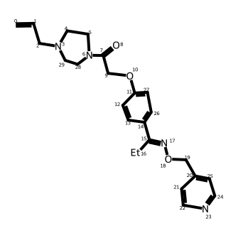 C=CCN1CCN(C(=O)COc2ccc(C(CC)=NOCc3ccncc3)cc2)CC1